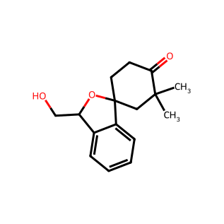 CC1(C)CC2(CCC1=O)OC(CO)c1ccccc12